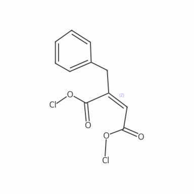 O=C(/C=C(/Cc1ccccc1)C(=O)OCl)OCl